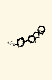 COc1ccc(-c2cnc3c(c2)CC2(CC4CCN2CC4)O3)cn1